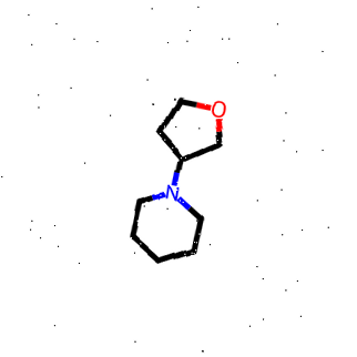 [CH]1CC(N2CCCCC2)CO1